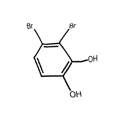 Oc1ccc(Br)c(Br)c1O